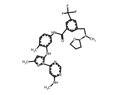 CNc1cc(-n2nc(C)cc2Nc2cc(NC(=O)c3cc(CN(C)[C@H]4CCCO4)cc(C(F)(F)F)c3)ccc2C)ncn1